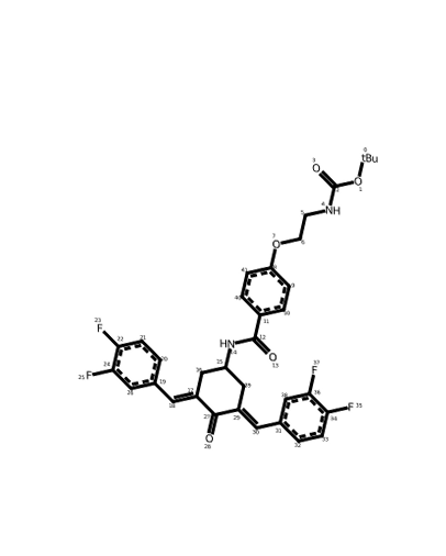 CC(C)(C)OC(=O)NCCOc1ccc(C(=O)NC2C/C(=C\c3ccc(F)c(F)c3)C(=O)/C(=C/c3ccc(F)c(F)c3)C2)cc1